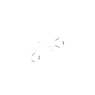 C[C@H](Cc1ccccc1)NC[C@H](O)c1cccc(Cl)c1F